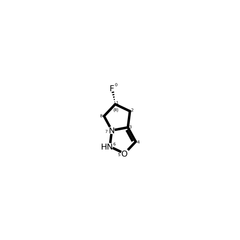 F[C@@H]1CC2=CONN2C1